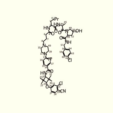 CC(C)CC(NC(=O)CCCN1CCN(c2ccc(C(=O)NC3C(C)(C)C(Oc4ccc(C#N)c(Cl)c4)C3(C)C)cn2)CC1)C(=O)NC(C)C(=O)N1C[C@H](O)C[C@H]1C(=O)NCc1ccc(Cl)cc1